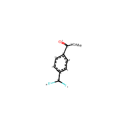 COC(=O)c1ccc([C](F)F)cc1